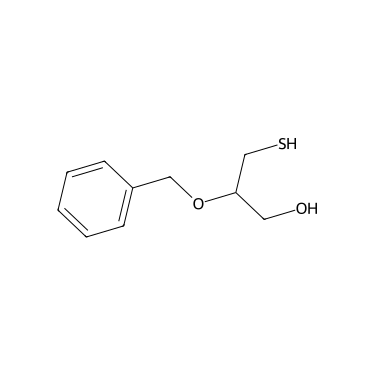 OCC(CS)OCc1ccccc1